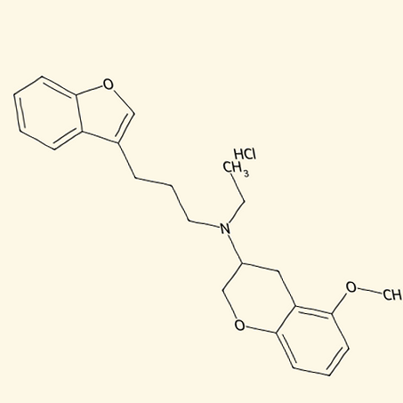 CCN(CCCc1coc2ccccc12)C1COc2cccc(OC)c2C1.Cl